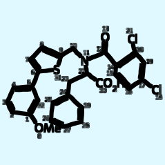 COc1cccc(-c2ccc(CN(C(=O)c3ccc(Cl)cc3Cl)C(Cc3ccccc3)C(=O)O)s2)c1